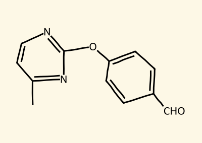 Cc1ccnc(Oc2ccc(C=O)cc2)n1